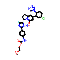 COCCOC(=O)Nc1ccc(-c2nc(F)c([C@@H]3CCc4cc(-c5cc(Cl)ccc5-n5cnnn5)cc(=O)n43)[nH]2)cc1